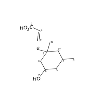 C=CC(=O)O.CC1CC(O)CC(C)(C)C1